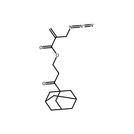 C=C(CN=[N+]=[N-])C(=O)OCCC(=O)C12CC3CC(CC(C3)C1)C2